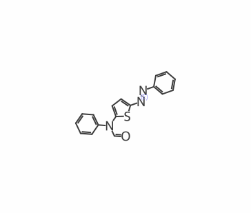 O=CN(c1ccccc1)c1ccc(/N=N/c2ccccc2)s1